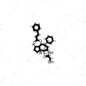 C[C@@H]1CC[C@@H]2C1[C@H](OC(=O)/C=C/c1ccccc1)[C@]1(C3CCCCC3)C[C@@H](NC(=O)CO)[C@@]2(C)O1